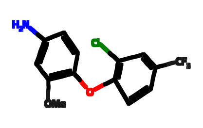 COc1cc(N)ccc1Oc1ccc(C(F)(F)F)cc1Cl